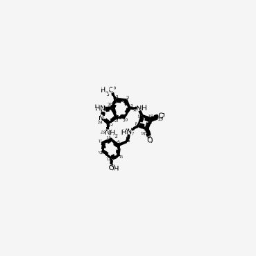 Cc1cc(Nc2c(NCc3cccc(O)c3)c(=O)c2=O)cc2c(N)n[nH]c12